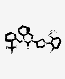 COc1cccc(F)c1N1CCC(N2Cc3ccccc3N(Cc3ccccc3C(F)(F)F)C2=O)C1